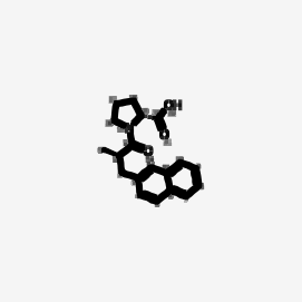 C[C@H](Cc1ccc2ccccc2c1)C(=O)N1CCC[C@@H]1C(=O)O